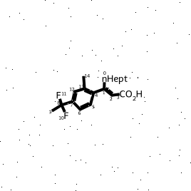 CCCCCCC/C(=C\C(=O)O)c1ccc(C(C)(F)F)cc1C